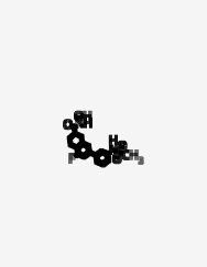 CS(=O)(=O)Nc1cccc(-c2cc(F)c3c(c2)CC(C(=O)NO)CC3)c1